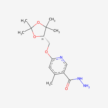 Cc1cc(OC[C@@H]2OC(C)(C)OC2(C)C)ncc1C(=O)NN